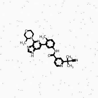 Cc1ccc(NC(=O)c2ccnc(C(C)(C)C#N)c2)cc1-c1cc2[nH]cnc2c(N2CCOCC2C)n1